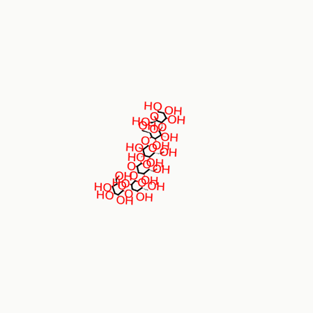 OC[C@H]1O[C@H](O[C@H]2[C@@H](O)[C@@H](CO)O[C@H](O[C@H]3[C@@H](O)[C@@H](CO)O[C@H](O[C@H]4[C@@H](O)[C@@H](CO)O[C@H](O[C@@H]5[C@H](O)[C@@H](O)[C@H](O[C@H]6[C@H](O)[C@@H](O)[C@H](O)O[C@@H]6CO)O[C@@H]5CO)[C@@H]4O)[C@@H]3O)[C@@H]2O)[C@H](O)[C@@H](O)[C@H]1O